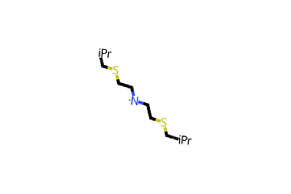 CC(C)CSCC[N]CCSCC(C)C